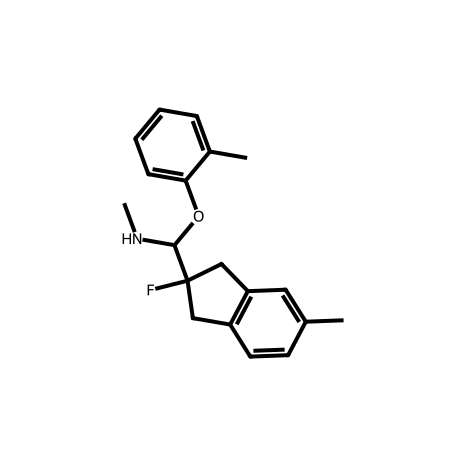 CNC(Oc1ccccc1C)C1(F)Cc2ccc(C)cc2C1